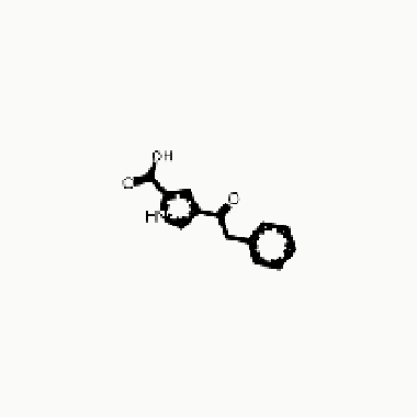 O=C(Cc1ccccc1)c1c[nH]c(C(=O)O)c1